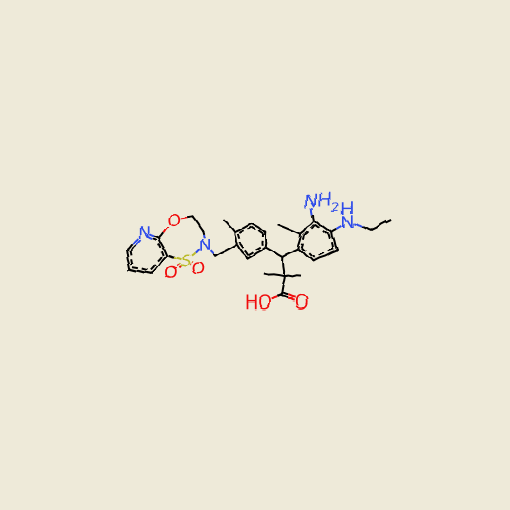 CCNc1ccc(C(c2ccc(C)c(CN3CCOc4ncccc4S3(=O)=O)c2)C(C)(C)C(=O)O)c(C)c1N